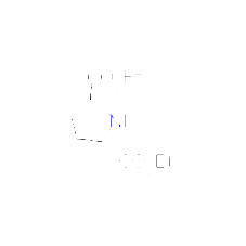 CCOC(=O)C1CC[C@@H](C(=O)OCC)N1